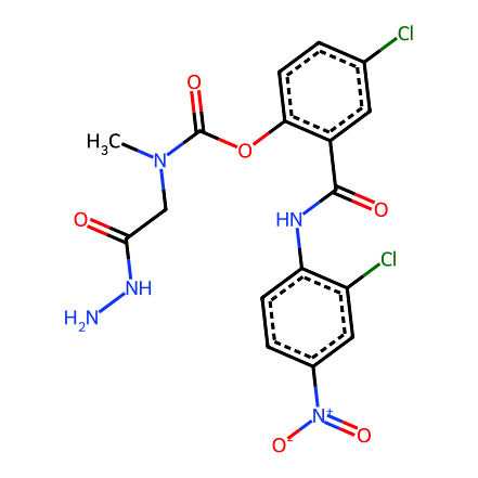 CN(CC(=O)NN)C(=O)Oc1ccc(Cl)cc1C(=O)Nc1ccc([N+](=O)[O-])cc1Cl